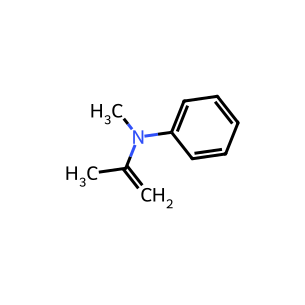 C=C(C)N(C)c1ccccc1